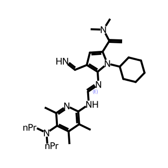 C=C(c1cc(C=N)c(/N=C/Nc2nc(C)c(N(CCC)CCC)c(C)c2C)n1C1CCCCC1)N(C)C